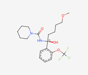 COCCCC[C@@](O)(NC(=O)N1CCCCC1)c1ccccc1OC(F)(F)F